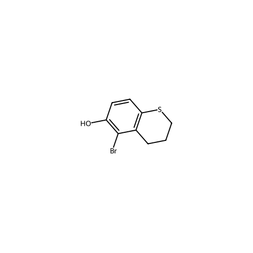 Oc1ccc2c(c1Br)CCCS2